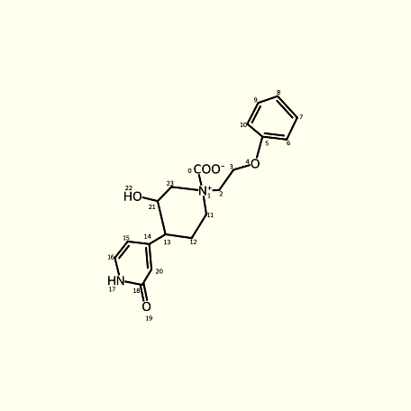 O=C([O-])[N+]1(CCOc2ccccc2)CCC(c2cc[nH]c(=O)c2)C(O)C1